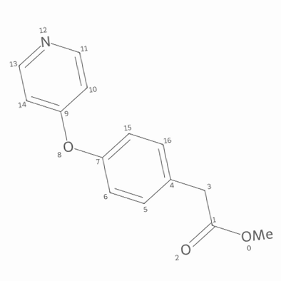 COC(=O)Cc1ccc(Oc2ccncc2)cc1